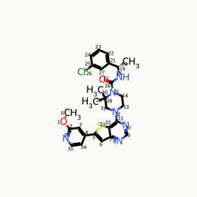 COc1cc(-c2cc3ncnc(N4CCN(C(=O)N[C@@H](C)c5cccc(Cl)c5)C(C)(C)C4)c3s2)ccn1